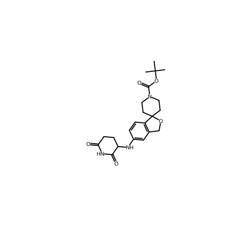 CC(C)(C)OC(=O)N1CCC2(CC1)OCc1cc(NC3CCC(=O)NC3=O)ccc12